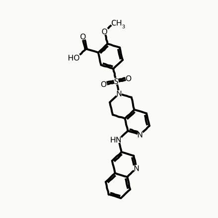 COc1ccc(S(=O)(=O)N2CCc3c(ccnc3Nc3cnc4ccccc4c3)C2)cc1C(=O)O